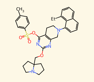 CCc1cccc2cccc(N3CCc4c(nc(OCC56CCCN5CCC6)nc4OS(=O)(=O)c4ccc(C)cc4)C3)c12